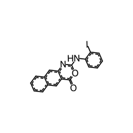 O=c1oc(Nc2ccccc2I)nc2cc3ccccc3cc12